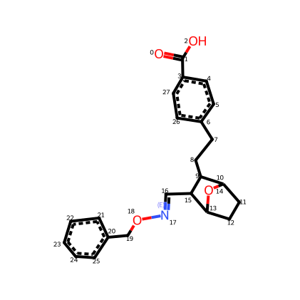 O=C(O)c1ccc(CCC2C3CCC(O3)C2/C=N/OCc2ccccc2)cc1